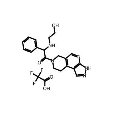 O=C(C(NCCO)c1ccccc1)N1CCc2c(cnc3[nH]ncc23)C1.O=C(O)C(F)(F)F